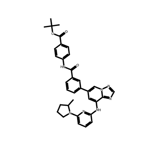 CC1CCCN1c1cccc(Nc2cc(-c3cccc(C(=O)Nc4ccc(C(=O)OC(C)(C)C)cc4)c3)cn3ncnc23)n1